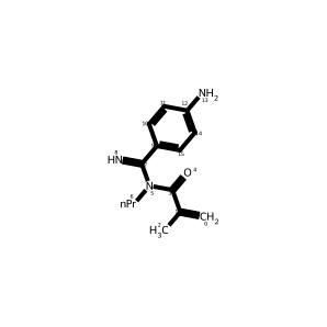 C=C(C)C(=O)N(CCC)C(=N)c1ccc(N)cc1